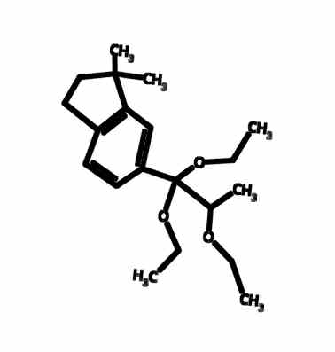 CCOC(C)C(OCC)(OCC)c1ccc2c(c1)C(C)(C)CC2